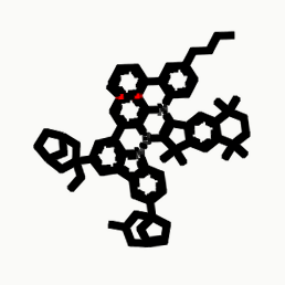 CCCCc1ccc(N2C3=C(B4c5c(cc(C)cc52)-c2cc(C5(CC)CC6CCC(C6)C5)cc5c6cc(C78CC=C(CC(C)C7)C8)ccc6n4c25)C(C)(C)c2cc4c(cc23)C(C)(C)CCC4(C)C)c(-c2ccccc2)c1